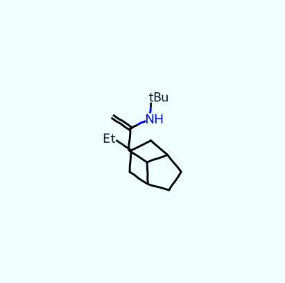 C=C(CC1C2CCC1CC(CC)C2)NC(C)(C)C